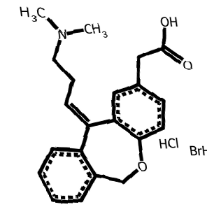 Br.CN(C)CC/C=C1/c2ccccc2COc2ccc(CC(=O)O)cc21.Cl